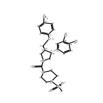 CS(=O)(=O)N1CCN(C(=O)N2C[C@@H](COc3ccc(C(F)(F)F)cc3)[C@H](c3ccc(Cl)c(Cl)c3)C2)CC1